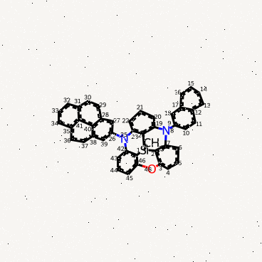 C[Si]12c3c4cccc3N(c3ccc5ccccc5c3)c3cccc(c31)N(c1cc3ccc5cccc6ccc(c1)c3c56)c1cccc(c12)O4